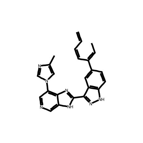 C=C/C=C\C(=C/C)c1ccc2[nH]nc(-c3nc4c(-n5cnc(C)c5)cncc4[nH]3)c2c1